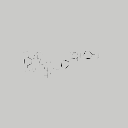 COc1ccc(C(C)C)c(N2CCS/C2=N\C(=O)NC(C)CCc2ccc(-c3ncn(-c4ccc(OC(F)(F)F)cc4)n3)cc2)c1